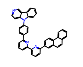 c1cc(-c2ccc(-n3c4ccccc4c4cnccc43)cc2)nc(-c2cccc(-c3ccc4c(ccc5ccccc54)c3)n2)c1